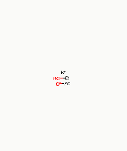 CC(=O)[O-].CCO.[K+]